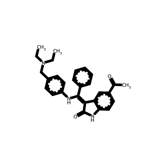 CCN(CC)Cc1ccc(N/C(=C2\C(=O)Nc3ccc(C(C)=O)cc32)c2ccccc2)cc1